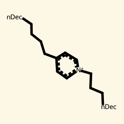 CCCCCCCCCCCCCCc1cc[n+](CCCCCCCCCCCCC)cc1